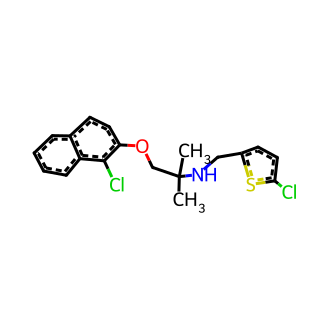 CC(C)(COc1ccc2ccccc2c1Cl)NCc1ccc(Cl)s1